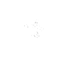 C#Cc1c(F)ccc2cc(OP(=O)(N[C@@H](C)C(=O)OC(C)C)OC(C)C)cc([C@H]3CCc4c(nc(OC[C@]5(C)C[C@@H](F)CN5C)nc4NCC4(N(C)C(=O)C=C)CCCC4)C3)c12